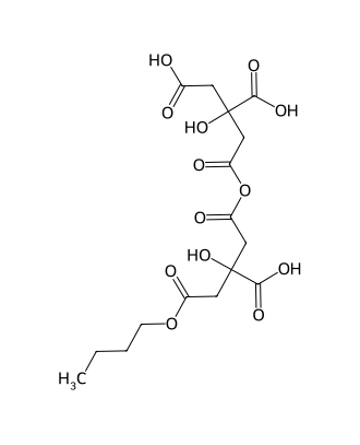 CCCCOC(=O)CC(O)(CC(=O)OC(=O)CC(O)(CC(=O)O)C(=O)O)C(=O)O